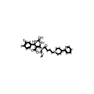 COCN(C(=O)CCCN1CCC(c2ccccn2)CC1)C1=C(C(=O)O)C(c2ccc(F)c(F)c2)NC(O)N1